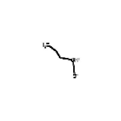 CCC[OH+][O-]